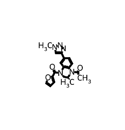 CC(=O)N1c2ccc(-c3cn(C)nn3)cc2N(C(=O)c2ccco2)C[C@@H]1C